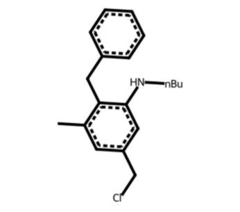 CCCCNc1cc(CCl)cc(C)c1Cc1ccccc1